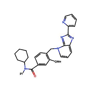 COc1cc(C(=O)N(C(C)C)C2CCCCC2)ccc1Cn1cccc2nc(-c3ccccn3)nc1-2